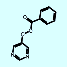 O=C(OOc1cncnc1)c1ccccc1